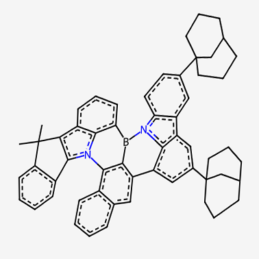 CC1(C)c2ccccc2-c2c1c1cccc3c1n2-c1c2c(cc4ccccc14)-c1cc(C45CCCC(CCC4)C5)cc4c5cc(C67CCCC(CCC6)C7)ccc5n(c14)B23